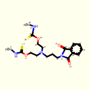 CCCCNC(=S)OCCN(CCCN1C(=O)c2ccccc2C1=O)CCOC(=S)NCCCC